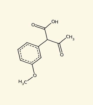 COc1cccc(C(C(C)=O)C(=O)O)c1